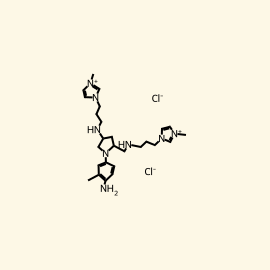 Cc1cc(N2CC(NCCCn3cc[n+](C)c3)CC2CNCCCn2cc[n+](C)c2)ccc1N.[Cl-].[Cl-]